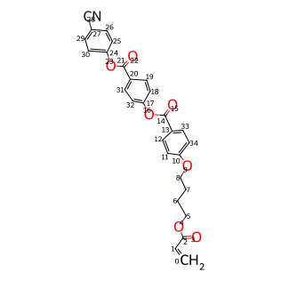 C=CC(=O)OCCCCOc1ccc(C(=O)Oc2ccc(C(=O)Oc3ccc(C#N)cc3)cc2)cc1